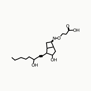 CCCCCC(O)C#CC1C(O)CC2C(=NOCCC(=O)O)CC21